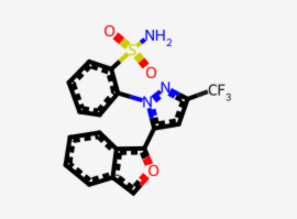 NS(=O)(=O)c1ccccc1-n1nc(C(F)(F)F)cc1-c1occ2ccccc12